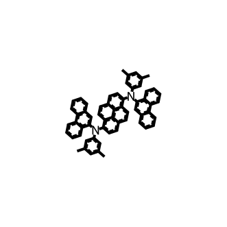 Cc1cc(C)cc(N(c2cc3ccccc3c3ccccc23)c2ccc3ccc4c(N(c5cc(C)cc(C)c5)c5cc6ccccc6c6ccccc56)ccc5ccc2c3c54)c1